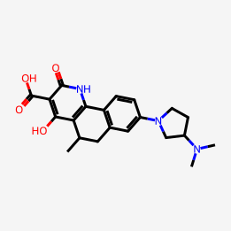 CC1Cc2cc(N3CCC(N(C)C)C3)ccc2-c2[nH]c(=O)c(C(=O)O)c(O)c21